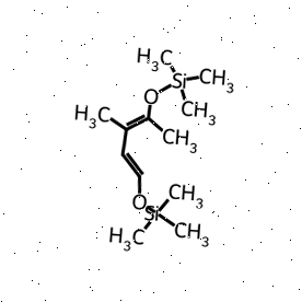 CC(C=CO[Si](C)(C)C)=C(C)O[Si](C)(C)C